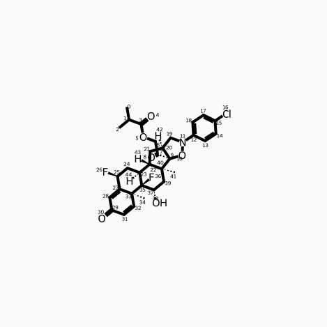 CC(C)C(=O)OCC(=O)[C@@]12ON(c3ccc(Cl)cc3)C[C@@H]1C[C@H]1[C@@H]3C[C@H](F)C4=CC(=O)C=C[C@]4(C)[C@@]3(F)[C@@H](O)C[C@@]12C